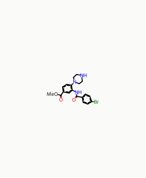 COC(=O)c1ccc(N2CCNCC2)c(NC(=O)c2ccc(Br)cc2)c1